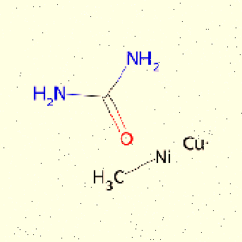 NC(N)=O.[CH3][Ni].[Cu]